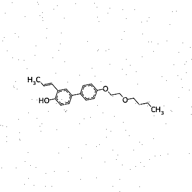 C/C=C/c1cc(-c2ccc(OCCOCCCC)cc2)ccc1O